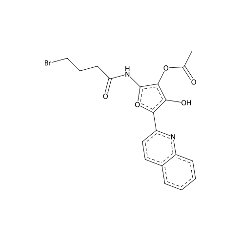 CC(=O)Oc1c(NC(=O)CCCBr)oc(-c2ccc3ccccc3n2)c1O